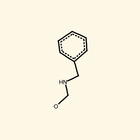 [O]CNCc1ccccc1